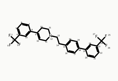 FC(F)(F)c1cccc(C2=CCN(CCc3ccc(-c4cccc(C(F)(F)F)c4)cc3)CC2)c1